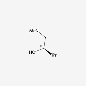 CNC[C@H](O)C(C)C